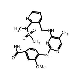 COc1cc(C(N)=O)ccc1Nc1ncc(C(F)(F)F)c(NCc2cccnc2N(C)S(C)(=O)=O)n1